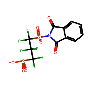 O=C1c2ccccc2C(=O)N1S(=O)(=O)C(F)(F)C(F)(F)C(F)(F)S(=O)(=O)O